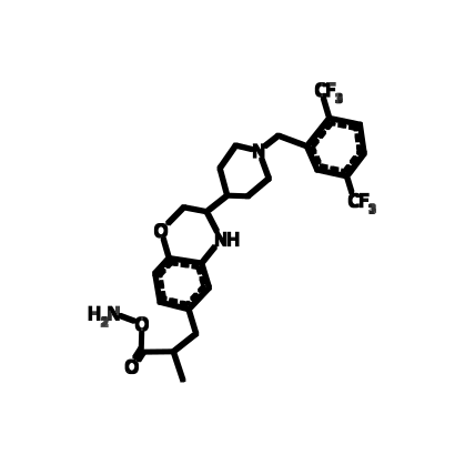 CC(Cc1ccc2c(c1)NC(C1CCN(Cc3cc(C(F)(F)F)ccc3C(F)(F)F)CC1)CO2)C(=O)ON